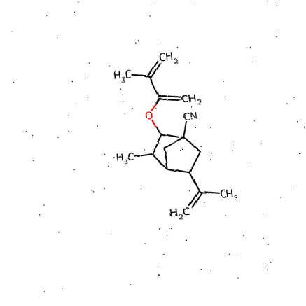 C=C(C)C(=C)OC1C(C)C2CC1(C#N)CC2C(=C)C